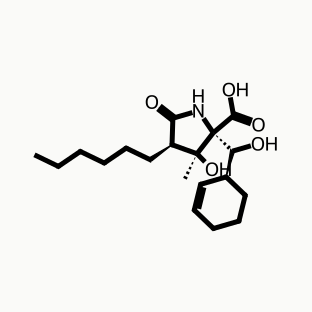 CCCCCC[C@H]1C(=O)N[C@](C(=O)O)(C(O)[C@@H]2C=CCCC2)[C@@]1(C)O